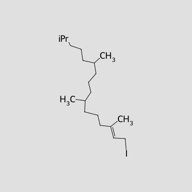 C/C(=C\CI)CCCC(C)CCCC(C)CCCC(C)C